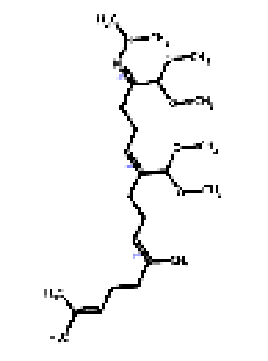 COC(OC)/C(=C\CC/C(=N/N(C)C)C(OC)OC)CC/C=C(\C)CCC=C(C)C